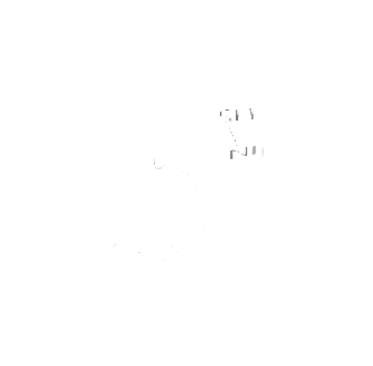 O=C(/C=C\F)NS